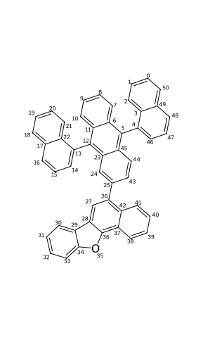 c1ccc2c(-c3c4ccccc4c(-c4cccc5ccccc45)c4cc(-c5cc6c7ccccc7oc6c6ccccc56)ccc34)cccc2c1